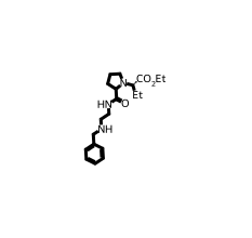 CCOC(=O)[C@H](CC)N1CCCC1C(=O)NCCNCc1ccccc1